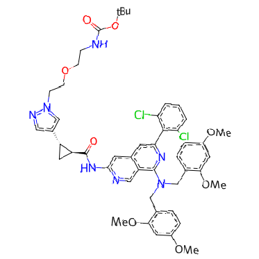 COc1ccc(CN(Cc2ccc(OC)cc2OC)c2nc(-c3c(Cl)cccc3Cl)cc3cc(NC(=O)[C@H]4C[C@@H]4c4cnn(CCOCCNC(=O)OC(C)(C)C)c4)ncc23)c(OC)c1